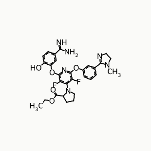 CCOC(=O)C1CCCN1c1c(F)c(Oc2cccc(C3=NCCN3C)c2)nc(Oc2cc(C(=N)N)ccc2O)c1F